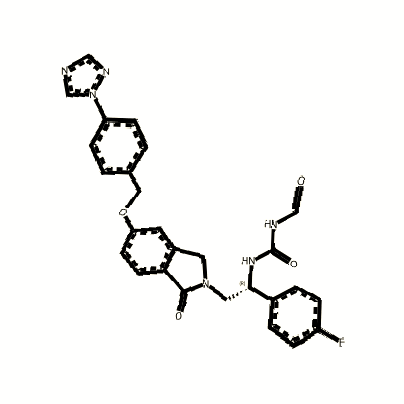 O=CNC(=O)N[C@@H](CN1Cc2cc(OCc3ccc(-n4cncn4)cc3)ccc2C1=O)c1ccc(F)cc1